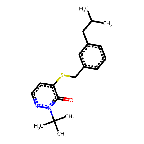 CC(C)Cc1cccc(CSc2ccnn(C(C)(C)C)c2=O)c1